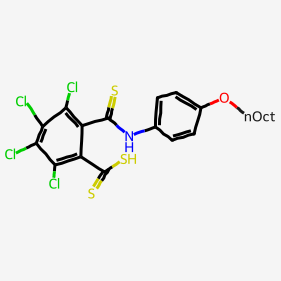 CCCCCCCCOc1ccc(NC(=S)c2c(Cl)c(Cl)c(Cl)c(Cl)c2C(=S)S)cc1